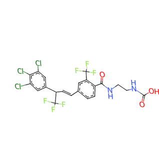 O=C(O)NCCNC(=O)c1ccc(C=CC(c2cc(Cl)c(Cl)c(Cl)c2)C(F)(F)F)cc1C(F)(F)F